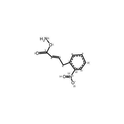 NOC(=O)C=CCc1ccccc1[N+](=O)[O-]